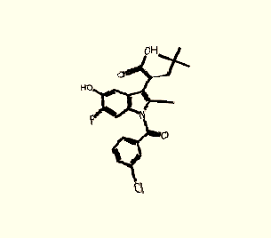 Cc1c([C@H](CC(C)(C)C)C(=O)O)c2cc(O)c(F)cc2n1C(=O)c1cccc(Cl)c1